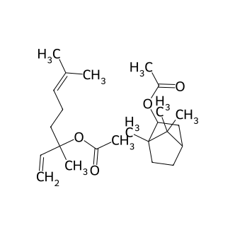 C=CC(C)(CCC=C(C)C)OC(C)=O.CC(=O)OC1CC2CCC1(C)C2(C)C